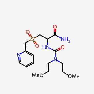 COCCN(CCOC)C(=O)NC(CS(=O)(=O)Cc1ccccn1)C(N)=O